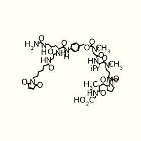 CO[C@H]([C@@H](C)C(=O)NCC(=O)O)[C@@H]1CCCN1C(=O)CCCN(C)C(=O)C(NC(=O)CN(C)C(=O)OCc1ccc(NC(=O)[C@H](CCCNC(N)=O)NC(=O)CNC(=O)CCCCCN2C(=O)C=CC2=O)cc1)C(C)C